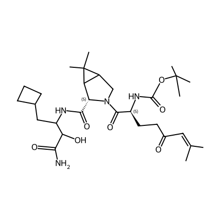 CC(C)=CC(=O)CC[C@H](NC(=O)OC(C)(C)C)C(=O)N1CC2C([C@H]1C(=O)NC(CC1CCC1)C(O)C(N)=O)C2(C)C